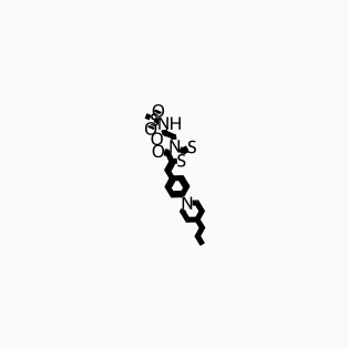 CCCC1CCN(c2ccc(/C=C3\SC(=S)N(CC(=O)NS(C)(=O)=O)C3=O)cc2)CC1